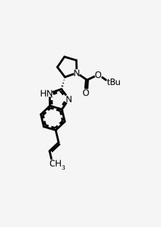 C/C=C/c1ccc2[nH]c([C@@H]3CCCN3C(=O)OC(C)(C)C)nc2c1